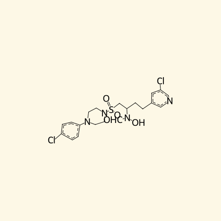 O=CN(O)C(CCc1cncc(Cl)c1)CS(=O)(=O)N1CCN(c2ccc(Cl)cc2)CC1